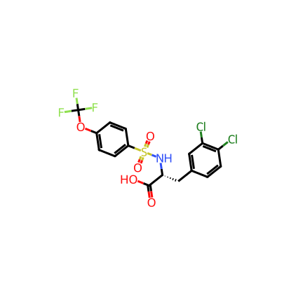 O=C(O)[C@@H](Cc1ccc(Cl)c(Cl)c1)NS(=O)(=O)c1ccc(OC(F)(F)F)cc1